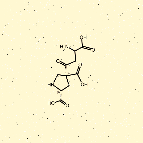 NC(CC(=O)[C@@]1(C(=O)O)CN[C@@H](C(=O)O)C1)C(=O)O